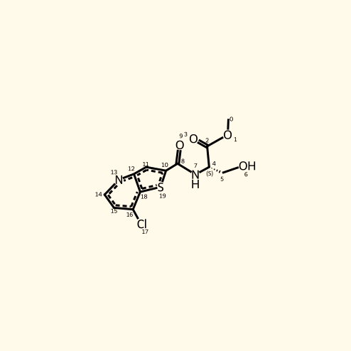 COC(=O)[C@H](CO)NC(=O)c1cc2nccc(Cl)c2s1